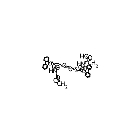 C=CC(=O)OCCNC(=O)OC(COc1ccccc1-c1ccccc1)CSCCOCCOCCSCC(COc1ccccc1-c1ccccc1)OC(=O)NCCC(=C)C(=O)O